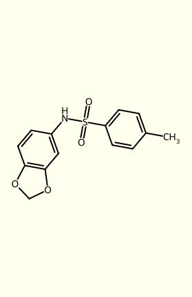 Cc1ccc(S(=O)(=O)Nc2ccc3c(c2)OCO3)cc1